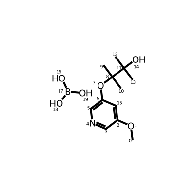 COc1cncc(OC(C)(C)C(C)(C)O)c1.OB(O)O